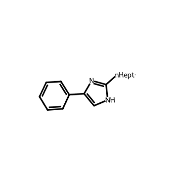 CCCCCC[CH]c1nc(-c2ccccc2)c[nH]1